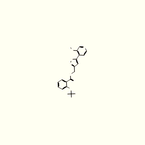 COc1cnccc1-c1cc(CNC(=O)c2ccccc2OC(F)(F)F)n[nH]1